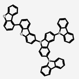 c1ccc2c(c1)oc1cccc(-c3cccc4c3oc3ccc(-n5c6ccc(-n7c8ccccc8c8ccccc87)cc6c6cc(-n7c8ccccc8c8ccccc87)ccc65)cc34)c12